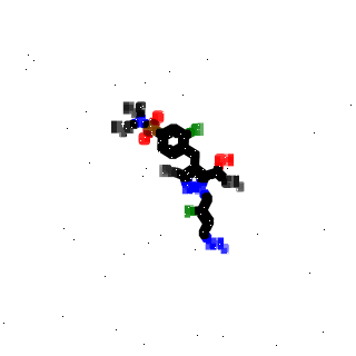 CC(C)c1nn(CC(F)=CCN)c(C(C)O)c1Cc1ccc(S(=O)(=O)N(C)C)cc1Cl